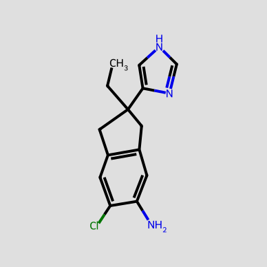 CCC1(c2c[nH]cn2)Cc2cc(N)c(Cl)cc2C1